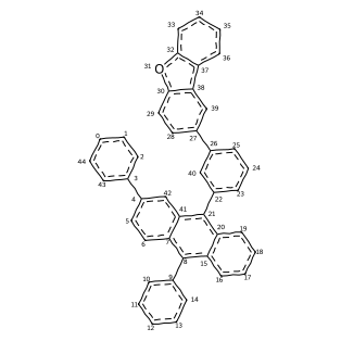 c1ccc(-c2ccc3c(-c4ccccc4)c4ccccc4c(-c4cccc(-c5ccc6oc7ccccc7c6c5)c4)c3c2)cc1